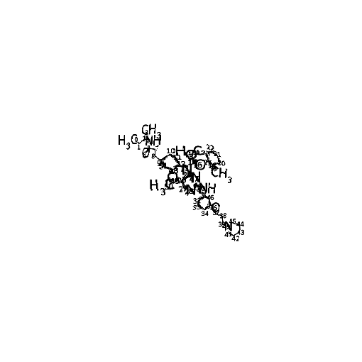 CCC(C)NC(=O)CCc1ccc(N(C(=O)Oc2c(C)cccc2C)c2ccnc(Nc3cccc(OCCCN4CCCCC4)c3)n2)c(OC)c1